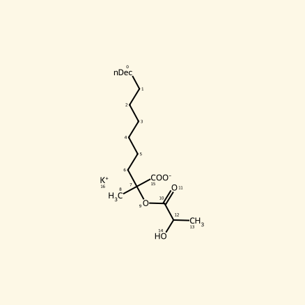 CCCCCCCCCCCCCCCCC(C)(OC(=O)C(C)O)C(=O)[O-].[K+]